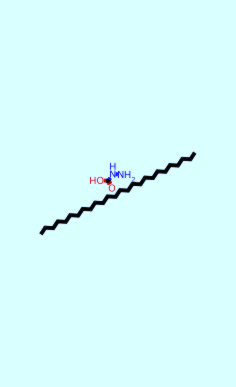 CCCCCCCCCCCCCCCCCCCCCCCCCC.NNC(=O)O